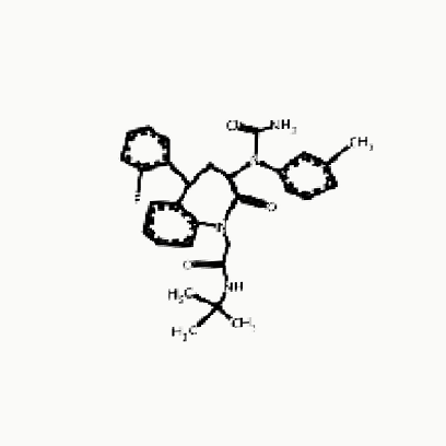 Cc1cccc(N(C(N)=O)C2CC(c3ccccc3F)c3ccccc3N(CC(=O)NC(C)(C)C)C2=O)c1